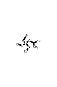 CCO[Si](OCC)(OCC)OC(C)C#N